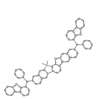 CC1(C)c2cc3cc(N(c4ccccc4)c4cccc5c4oc4ccccc45)ccc3cc2-c2ccc3c(oc4cc5cc(N(c6ccccc6)c6cccc7c6oc6ccccc67)ccc5cc43)c21